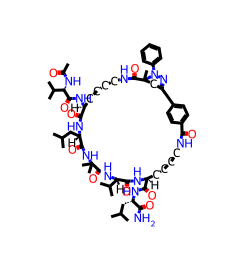 CC(=O)N[C@H](C(=O)N[C@H]1CCCCNC(=O)C2(C)CC(=NN2c2ccccc2)c2ccc(cc2)C(=O)NCCCC[C@@H](C(=O)N[C@@H](CC(C)C)C(N)=O)NC(=O)[C@H](C(C)C)NC(=O)C(C)(C)NC(=O)[C@H](CC(C)C)NC1=O)C(C)C